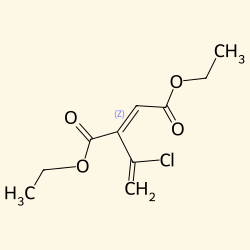 C=C(Cl)/C(=C\C(=O)OCC)C(=O)OCC